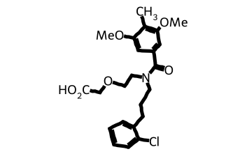 COc1cc(C(=O)N(CCCc2ccccc2Cl)CCOCC(=O)O)cc(OC)c1C